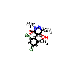 Cc1cc(Cl)cc(Br)c1-c1c(O)c(C)nn(C)c1=O